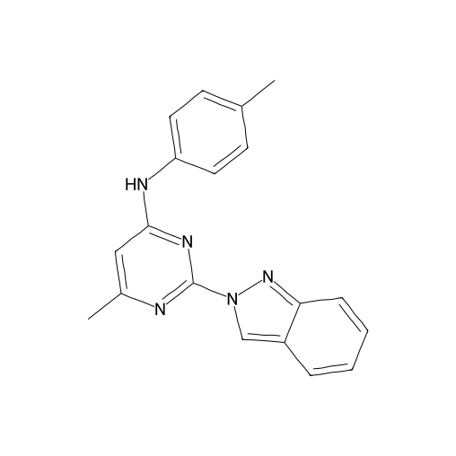 Cc1ccc(Nc2cc(C)nc(-n3cc4ccccc4n3)n2)cc1